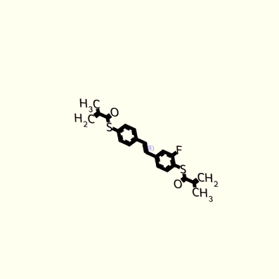 C=C(C)C(=O)Sc1ccc(/C=C/c2ccc(SC(=O)C(=C)C)c(F)c2)cc1